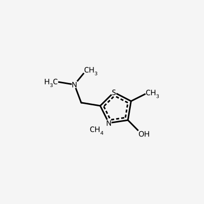 C.Cc1sc(CN(C)C)nc1O